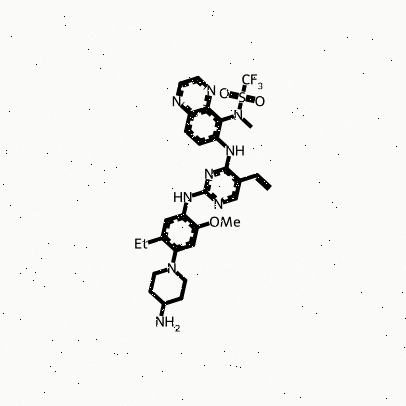 C=Cc1cnc(Nc2cc(CC)c(N3CCC(N)CC3)cc2OC)nc1Nc1ccc2nccnc2c1N(C)S(=O)(=O)C(F)(F)F